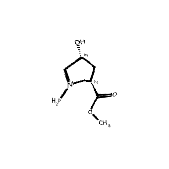 COC(=O)[C@@H]1C[C@@H](O)CN1P